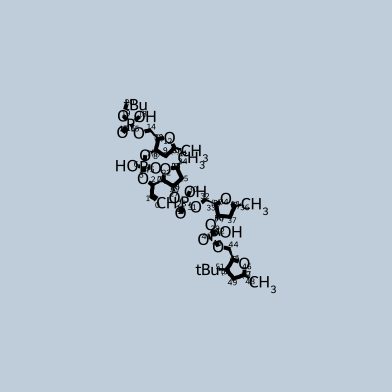 C=CC(OP(=O)(O)O[C@@H]1C[C@H](C)O[C@@H]1COP(=O)(O)OC(C)(C)C)[C@H]1O[C@@H](C)C[C@H]1OP(=O)(O)OC[C@H]1O[C@@H](C)C[C@H]1OP(=O)(O)OC[C@H]1O[C@@H](C)C[C@H]1C(C)(C)C